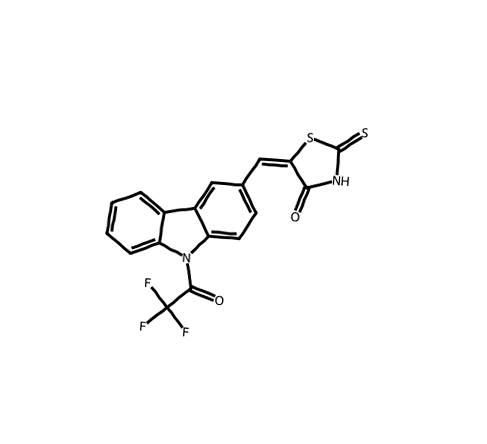 O=C1NC(=S)SC1=Cc1ccc2c(c1)c1ccccc1n2C(=O)C(F)(F)F